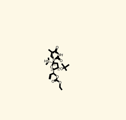 C=CC(OC(=O)OCC)[C@H]1O[C@](n2cc(C)c(=O)[nH]c2=O)([SiH](C)C)C[C@@H]1OC(C)(C)C